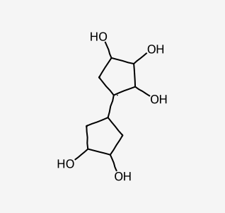 OC1CC([C]2CC(O)C(O)C2O)CC1O